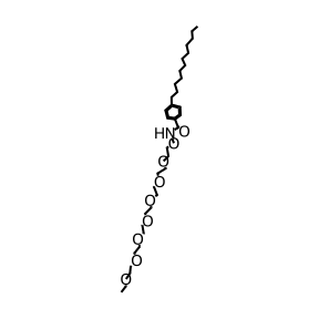 CCCCCCCCCCCCc1ccc(C(=O)NOCCOCCOCCOCCOCCOCCOCCOCC)cc1